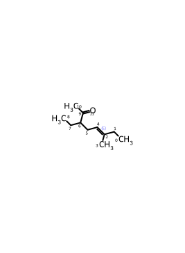 CC/C(C)=C/CC(CC)C(C)=O